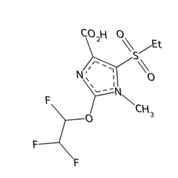 CCS(=O)(=O)c1c(C(=O)O)nc(OC(F)C(F)F)n1C